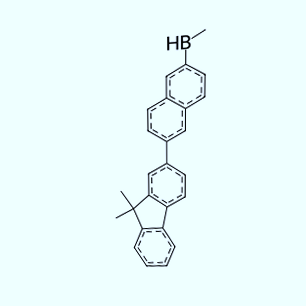 CBc1ccc2cc(-c3ccc4c(c3)C(C)(C)c3ccccc3-4)ccc2c1